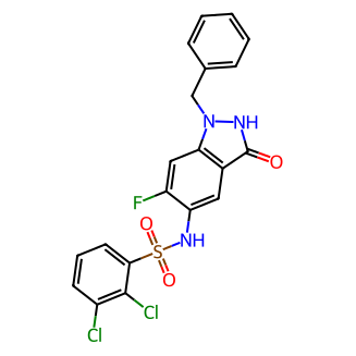 O=c1[nH]n(Cc2ccccc2)c2cc(F)c(NS(=O)(=O)c3cccc(Cl)c3Cl)cc12